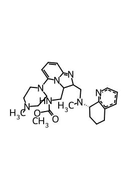 COC(=O)NCC1C(CN(C)[C@H]2CCCc3cccnc32)N=C2C=CC=C(N3CCN(C)CC3)N21